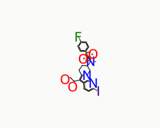 CN(C1CCc2c(C(=O)C=O)c3ccc(I)nc3n2C1)S(=O)(=O)c1ccc(F)cc1